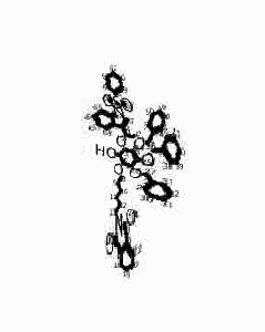 CC(OC1C(O)C(OCCCCCCN2C(=O)c3ccccc3C2=O)C(OCc2ccccc2)C(OCc2ccccc2)C1OCc1ccccc1)c1cn(S(=O)(=O)c2ccccc2)c2ccccc12